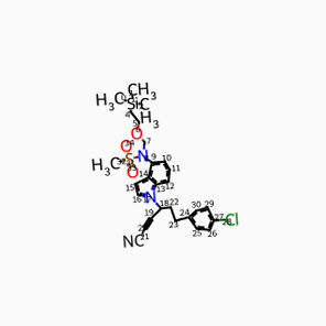 C[Si](C)(C)CCOCN(c1cccc2c1ccn2C(C#CC#N)CCc1ccc(Cl)cc1)S(C)(=O)=O